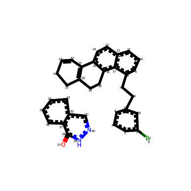 Brc1cccc(CCc2cccc3ccc4c(c23)CCC2=C4C=CCC2)c1.O=c1[nH]ncc2ccccc12